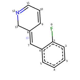 Fc1ccccc1/C=C1\C=CC=NC1